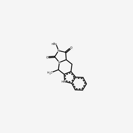 CCCCN1C(=O)C2Cc3c([nH]c4ccccc34)C(C)N2C1=O